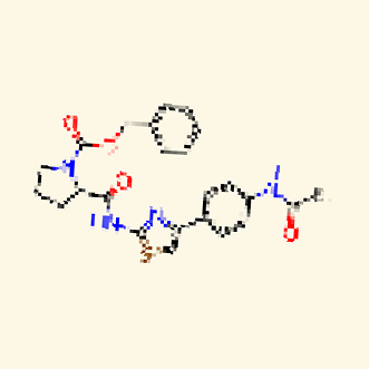 CCC(=O)Nc1ccc(-c2csc(NC(=O)C3CCCN3C(=O)OCc3ccccc3)n2)cc1